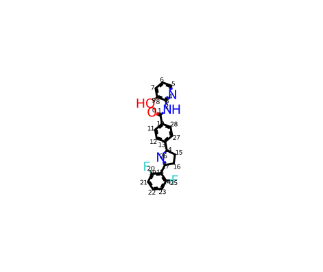 O=C(Nc1ncccc1O)c1ccc(C2CCC(c3c(F)cccc3F)=N2)cc1